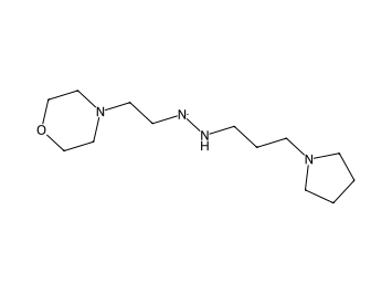 C1CCN(CCCN[N]CCN2CCOCC2)C1